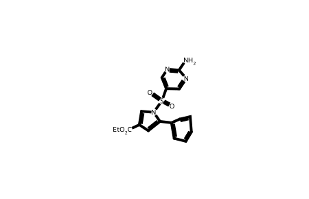 CCOC(=O)c1cc(-c2ccccc2)n(S(=O)(=O)c2cnc(N)nc2)c1